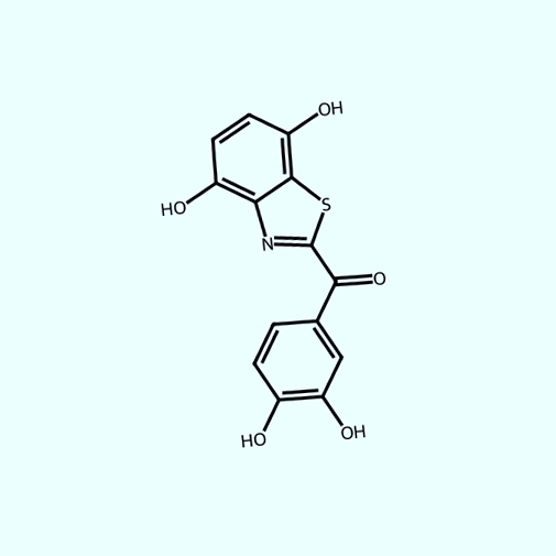 O=C(c1ccc(O)c(O)c1)c1nc2c(O)ccc(O)c2s1